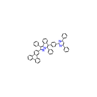 c1ccc(-c2cc(-c3ccccc3)nc(-c3ccc(-c4c(-c5ccccc5)n5nc(-c6ccc7c8ccccc8c8ccccc8c7c6)c(-c6ccccc6)c5c5ccccc45)cc3)n2)cc1